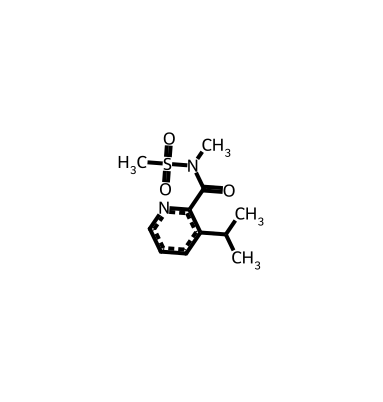 CC(C)c1cccnc1C(=O)N(C)S(C)(=O)=O